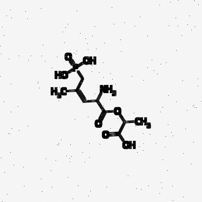 CC(=CC(N)C(=O)OC(C)C(=O)O)CP(=O)(O)O